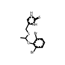 CC(Oc1c(Br)cccc1Br)SCc1c[nH]c(=S)[nH]1